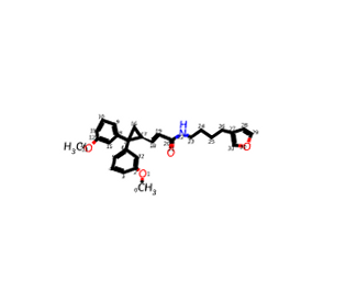 COc1cccc(C2(c3cccc(OC)c3)C[C@H]2/C=C/C(=O)NCCCCc2ccoc2)c1